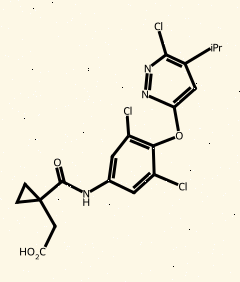 CC(C)c1cc(Oc2c(Cl)cc(NC(=O)C3(CC(=O)O)CC3)cc2Cl)nnc1Cl